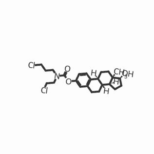 C[C@]12CC[C@@H]3c4ccc(OC(=O)N(CCCl)CCCCl)cc4CC[C@H]3[C@@H]1CC[C@@H]2O